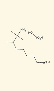 CCCCCCCCCCCCCCC(C)C(C)(C)N.O=S(=O)(O)O